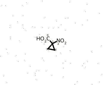 O=C(O)C1([N+](=O)[O-])CC1